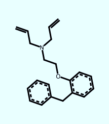 C=CCN(CC=C)CCOc1ccccc1Cc1ccccc1